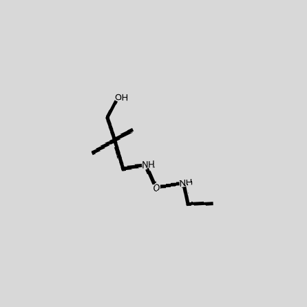 CCNONCC(C)(C)CO